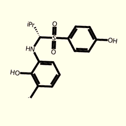 [CH2]c1cccc(N[C@H](C(C)C)S(=O)(=O)c2ccc(O)cc2)c1O